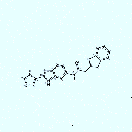 O=C(CC1Cc2ccccc2C1)Nc1ccc2nc(-c3cscn3)[nH]c2c1